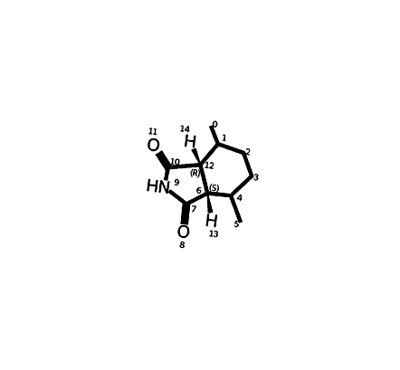 CC1CCC(C)[C@@H]2C(=O)NC(=O)[C@H]12